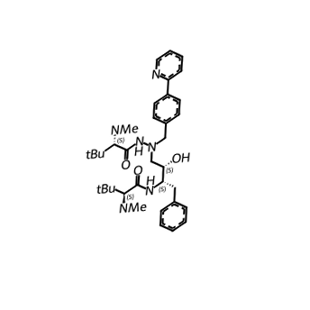 CN[C@H](C(=O)N[C@@H](Cc1ccccc1)[C@@H](O)CN(Cc1ccc(-c2ccccn2)cc1)NC(=O)[C@@H](NC)C(C)(C)C)C(C)(C)C